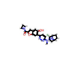 CN(c1ccc(-c2cc3oc(C(=O)N4CCC4)cc3cc2O)nn1)[C@H]1CC2CCC(N2)[C@H]1F